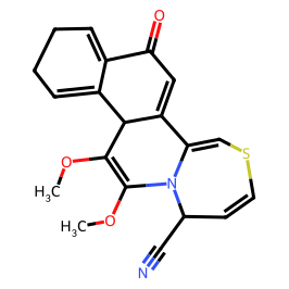 COC1=C(OC)N2C(=CSC=CC2C#N)C2=CC(=O)C3=CCCC=C3C21